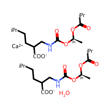 CC(C)CCC(CNC(=O)O[C@H](C)OC(=O)C(C)C)C(=O)[O-].CC(C)CCC(CNC(=O)O[C@H](C)OC(=O)C(C)C)C(=O)[O-].O.[Ca+2]